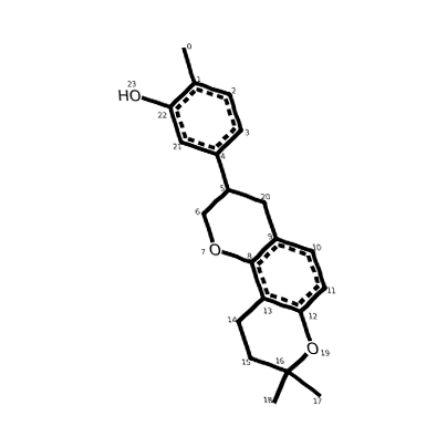 Cc1ccc(C2COc3c(ccc4c3CCC(C)(C)O4)C2)cc1O